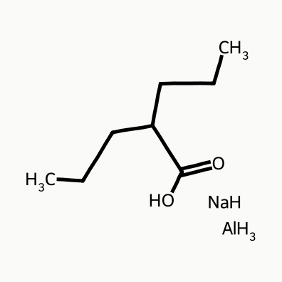 CCCC(CCC)C(=O)O.[AlH3].[NaH]